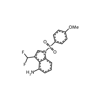 COc1ccc(S(=O)(=O)n2cc(C(F)F)c3c(N)cccc32)cc1